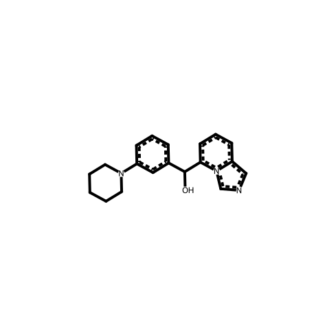 OC(c1cccc(N2CCCCC2)c1)c1cccc2cncn12